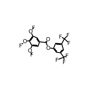 O=C(Oc1cc(C(F)(F)F)cc(C(F)(F)F)c1)c1cc(OF)c(OF)c(OF)c1